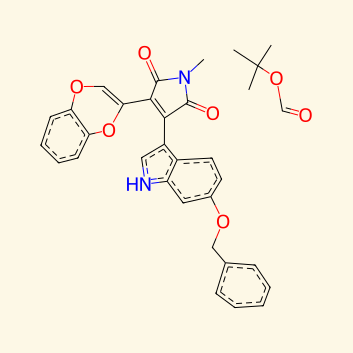 CC(C)(C)OC=O.CN1C(=O)C(C2=COc3ccccc3O2)=C(c2c[nH]c3cc(OCc4ccccc4)ccc23)C1=O